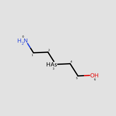 NCC[AsH]CCO